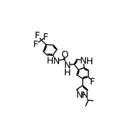 CC(C)n1cc(-c2cc3c(NC(=O)Nc4ccc(C(F)(F)F)cc4)c[nH]c3cc2F)cn1